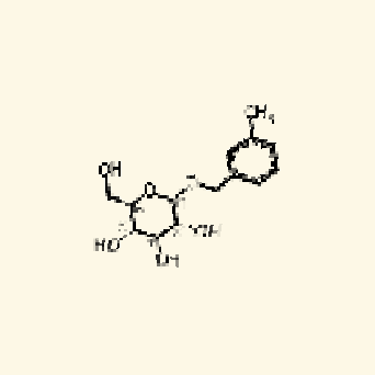 Cc1cccc(CO[C@@H]2O[C@H](CO)[C@@H](O)[C@H](O)[C@H]2O)c1